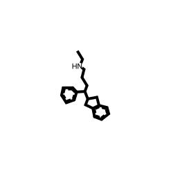 CCNCCCC(c1ccccc1)C1Cc2ccccc2C1